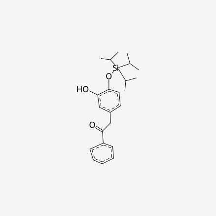 CC(C)[Si](Oc1ccc(CC(=O)c2ccccc2)cc1O)(C(C)C)C(C)C